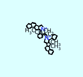 Cc1ccccc1-c1c2c(cc[n+]1/C=C\c1ccccc1-c1c3c(cc[n+]1C)-c1ccc4ccccc4c1C3(C)C)-c1ccc3ccccc3c1C2(C)C